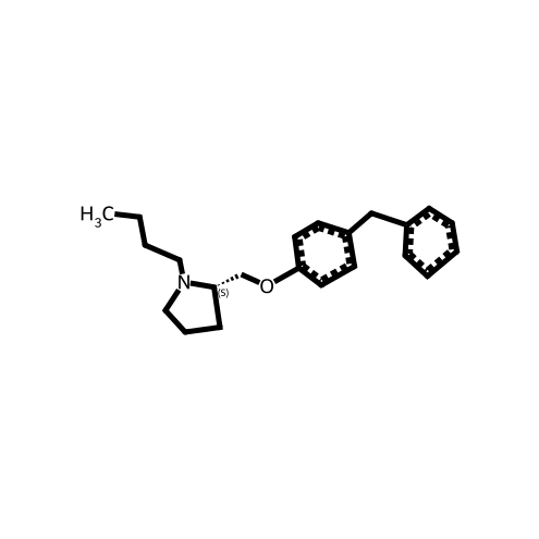 CCCCN1CCC[C@H]1COc1ccc(Cc2ccccc2)cc1